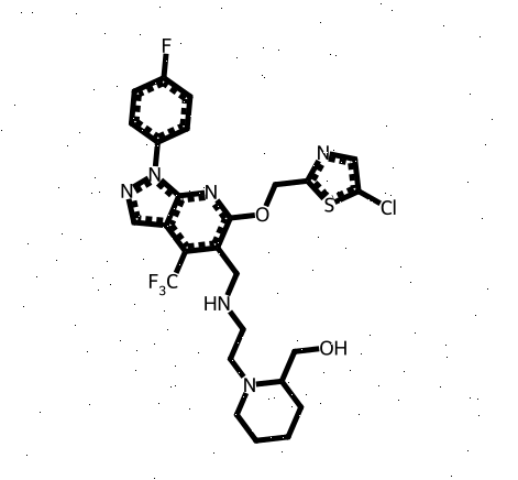 OCC1CCCCN1CCNCc1c(OCc2ncc(Cl)s2)nc2c(cnn2-c2ccc(F)cc2)c1C(F)(F)F